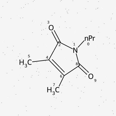 CCCN1C(=O)C(C)=C(C)C1=O